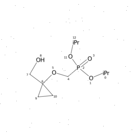 CC(C)OP(=O)(COC1(CO)CC1)OC(C)C